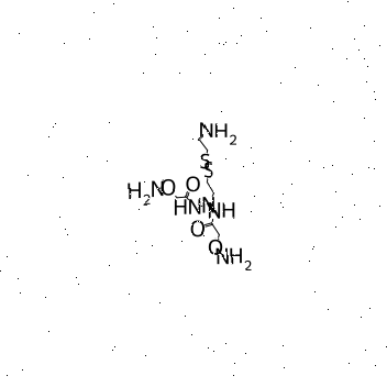 NCCSSCCN(NC(=O)CON)NC(=O)CON